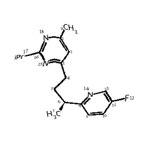 Cc1cc(CC[C@H](C)c2ccc(F)cn2)nc(C(C)C)n1